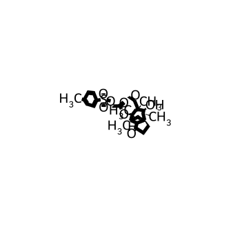 Cc1ccc(S(=O)(=O)OCC(=O)O[C@@H]2C[C@@](C)(C3CO3)[C@@H](O)[C@H](C)[C@]34CCC(=O)[C@H]3[C@@]2(C)[C@H](C)CC4)cc1